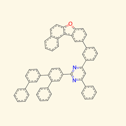 c1ccc(-c2cccc(-c3ccc(-c4nc(-c5ccccc5)cc(-c5cccc(-c6ccc7oc8ccc9ccccc9c8c7c6)c5)n4)cc3-c3ccccc3)c2)cc1